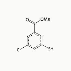 COC(=O)c1cc(S)cc(Cl)c1